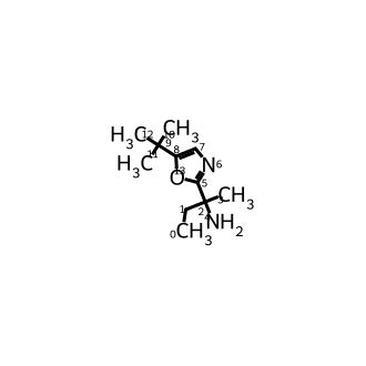 CCC(C)(N)c1ncc(C(C)(C)C)o1